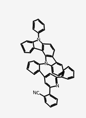 N#Cc1ccccc1-c1cc(-c2ccccc2-n2c3ccccc3c3ccc4c(c5ccccc5n4-c4ccccc4)c32)cc(-c2ccccc2)n1